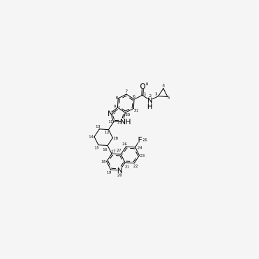 O=C(NC1CC1)c1ccc2nc(C3CCCC(c4ccnc5ccc(F)cc45)C3)[nH]c2c1